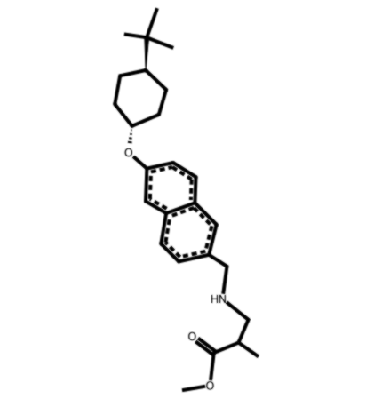 COC(=O)C(C)CNCc1ccc2cc(O[C@H]3CC[C@H](C(C)(C)C)CC3)ccc2c1